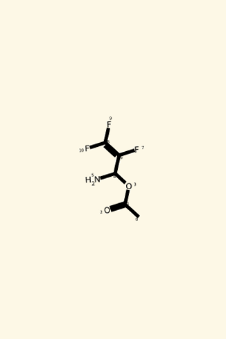 CC(=O)OC(N)C(F)=C(F)F